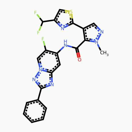 Cn1ncc(-c2nc(C(F)F)cs2)c1C(=O)Nc1cc2nc(-c3ccccc3)nn2cc1F